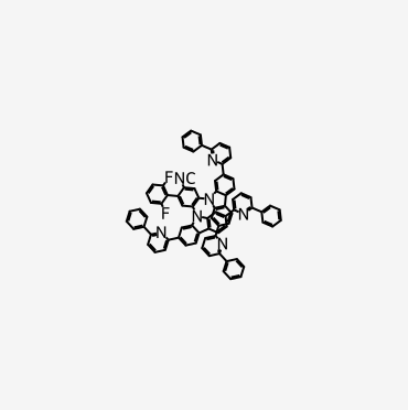 N#Cc1cc(-n2c3cc(-c4cccc(-c5ccccc5)n4)ccc3c3ccc(-c4cccc(-c5ccccc5)n4)cc32)c(-n2c3cc(-c4cccc(-c5ccccc5)n4)ccc3c3ccc(-c4cccc(-c5ccccc5)n4)cc32)cc1-c1c(F)cccc1F